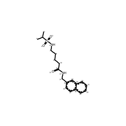 CC(C)S(=O)(=O)NCCCCC(=O)NCc1ccc2ccccc2c1